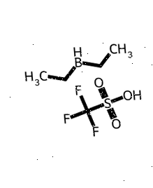 CCBCC.O=S(=O)(O)C(F)(F)F